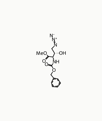 COC(=O)[C@H](NC(=O)OCc1ccccc1)[C@@H](O)CN=[N+]=[N-]